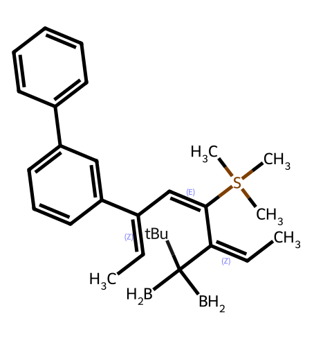 BC(B)(C(=C/C)/C(=C\C(=C\C)c1cccc(-c2ccccc2)c1)S(C)(C)C)C(C)(C)C